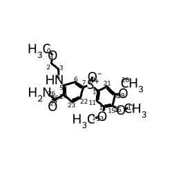 COCCNc1cc([S+]([O-])c2cc(OC)c(OC)c(OC)c2)ccc1C(N)=O